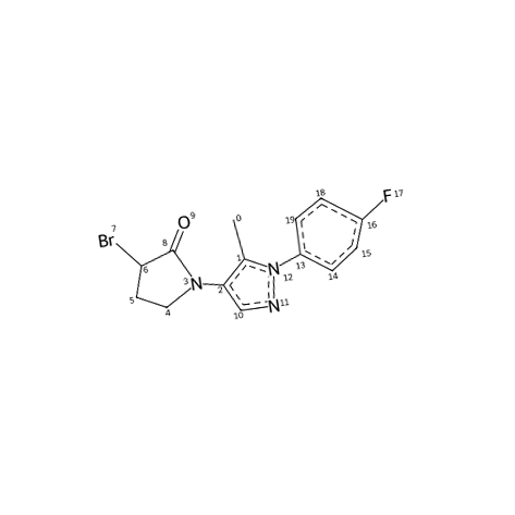 Cc1c(N2CCC(Br)C2=O)cnn1-c1ccc(F)cc1